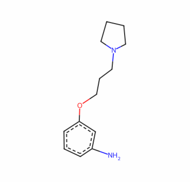 Nc1cccc(OCCCN2CCCC2)c1